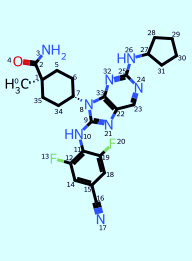 C[C@]1(C(N)=O)CC[C@H](n2c(Nc3c(F)cc(C#N)cc3F)nc3cnc(NC4CCCC4)nc32)CC1